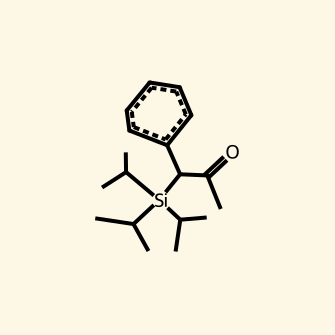 CC(=O)C(c1ccccc1)[Si](C(C)C)(C(C)C)C(C)C